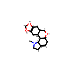 CN1CCC2=CCC3OCC4CC5=C(CC4C3C21)OCO5